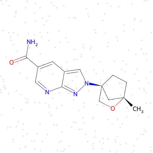 C[C@@]12CC[C@@](n3cc4cc(C(N)=O)cnc4n3)(CO1)C2